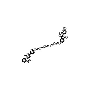 C=C1N=C(c2ccc(OCCOCCOCCOCCOCCOc3ccc4c(c3)C(=O)N(C3CCC(=O)NC3=O)C4=O)nc2)C=CN1c1ccccc1C(C)CC